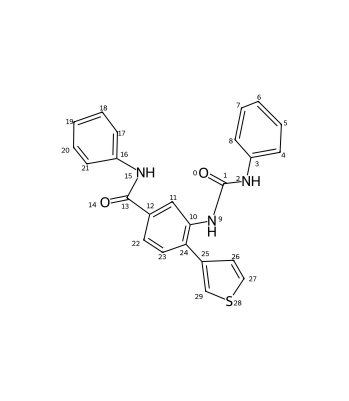 O=C(Nc1ccccc1)Nc1cc(C(=O)Nc2ccccc2)ccc1-c1ccsc1